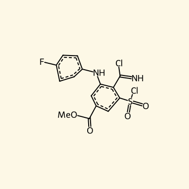 COC(=O)c1cc(Nc2ccc(F)cc2)c(C(=N)Cl)c(S(=O)(=O)Cl)c1